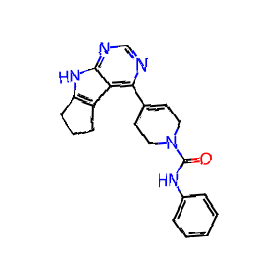 O=C(Nc1ccccc1)N1CC=C(c2ncnc3[nH]c4c(c23)CCC4)CC1